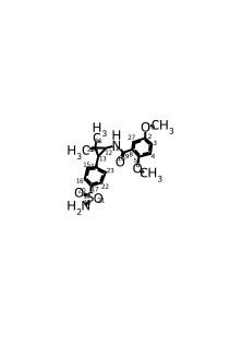 COc1ccc(OC)c(C(=O)NC2C(c3ccc(S(N)(=O)=O)cc3)C2(C)C)c1